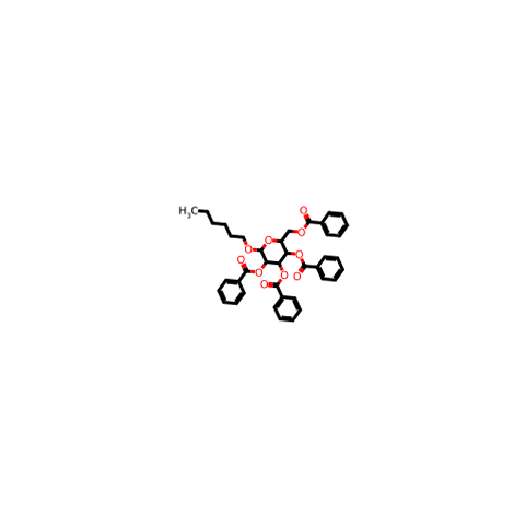 CCCCCCOC1OC(COC(=O)c2ccccc2)C(OC(=O)c2ccccc2)C(OC(=O)c2ccccc2)C1OC(=O)c1ccccc1